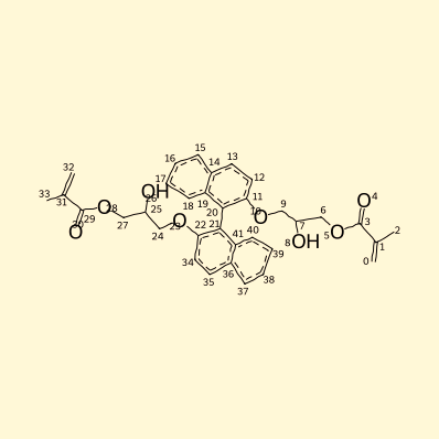 C=C(C)C(=O)OCC(O)COc1ccc2ccccc2c1-c1c(OCC(O)COC(=O)C(=C)C)ccc2ccccc12